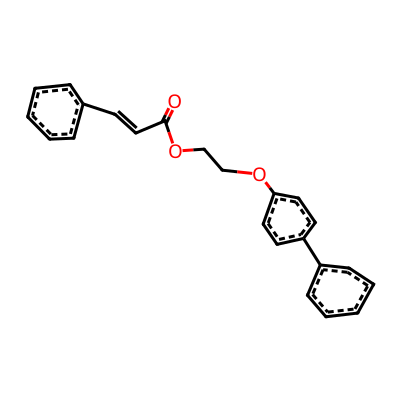 O=C(/C=C/c1ccccc1)OCCOc1ccc(-c2ccccc2)cc1